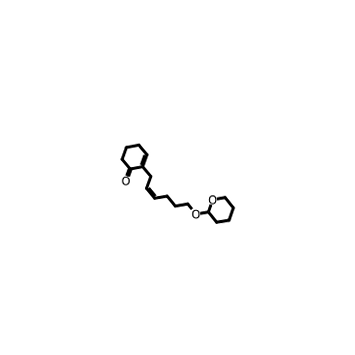 O=C1CCCC=C1C/C=C\CCCOC1CCCCO1